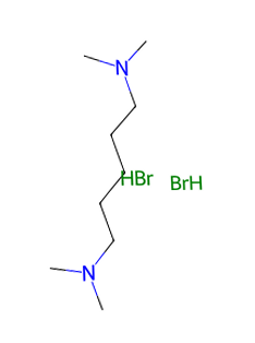 Br.Br.CN(C)CCCCCN(C)C